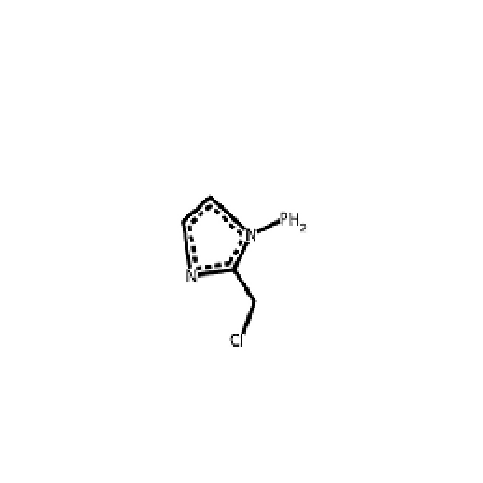 Pn1ccnc1CCl